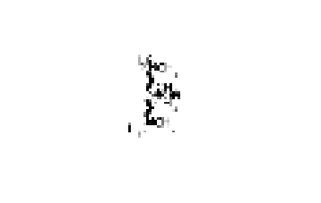 CN(C)CCCN(CCCN(C)C)C(C)(C)O